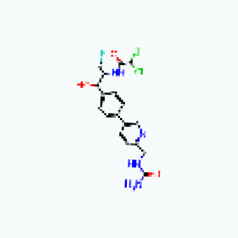 NC(=O)NCc1ccc(-c2ccc([C@@H](O)[C@@H](CF)NC(=O)C(Cl)Cl)cc2)cn1